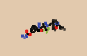 CCC(=O)NC(C)(C)/C=C/n1ncc(C(=O)N[C@H]2C3CC4CC2C[C@](OC(N)=O)(C4)C3)c1C(F)(F)F